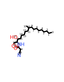 CCCCCCCCCC(C)CCCCCC(O)C(CO)NC(=O)CC#N